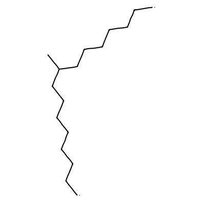 [CH2]CCCCCCCC(C)CCCCCC[CH2]